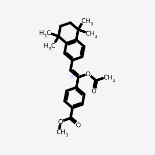 COC(=O)c1ccc(/C(=C/c2ccc3c(c2)C(C)(C)CCC3(C)C)OC(C)=O)cc1